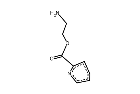 NCCOC(=O)c1ccccn1